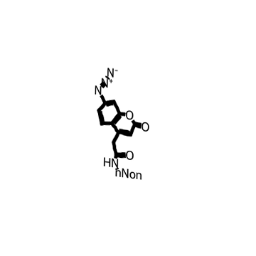 CCCCCCCCCNC(=O)Cc1cc(=O)oc2cc(N=[N+]=[N-])ccc12